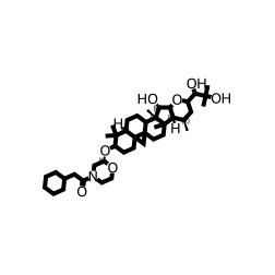 C[C@@H]1CC(C(O)C(C)(C)O)OC2[C@H]1C1(C)CCC34CC35CCC(O[C@H]3CN(C(=O)CC6CCCCC6)CCO3)C(C)(C)[C@@H]5CCC4[C@]1(C)[C@H]2O